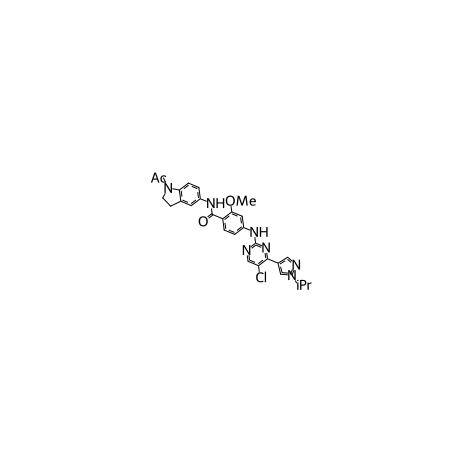 COc1cc(Nc2ncc(Cl)c(-c3cnn(C(C)C)c3)n2)ccc1C(=O)Nc1ccc2c(c1)CCN2C(C)=O